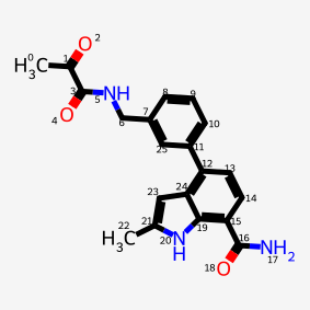 CC(=O)C(=O)NCc1cccc(-c2ccc(C(N)=O)c3[nH]c(C)cc23)c1